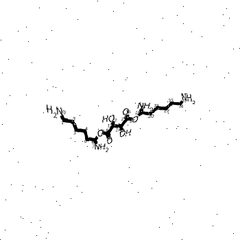 NCCCCCC(N)OC(=O)C(O)C(O)C(=O)OC(N)CCCCCN